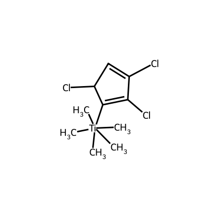 [CH3][Ti]([CH3])([CH3])([CH3])([CH3])[C]1=C(Cl)C(Cl)=CC1Cl